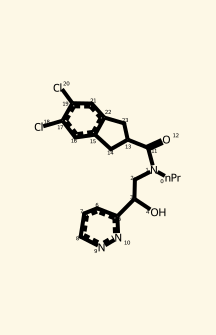 CCCN(CC(O)c1cccnn1)C(=O)C1Cc2cc(Cl)c(Cl)cc2C1